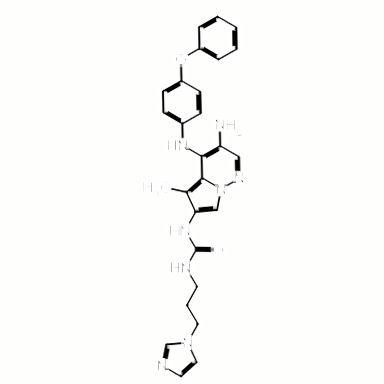 Cc1c(NC(=O)NCCCn2ccnc2)cn2ncc(N)c(Nc3ccc(Oc4ccccc4)cc3)c12